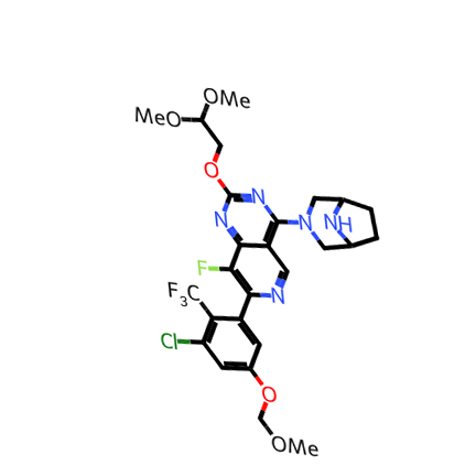 COCOc1cc(Cl)c(C(F)(F)F)c(-c2ncc3c(N4CC5CCC(C4)N5)nc(OCC(OC)OC)nc3c2F)c1